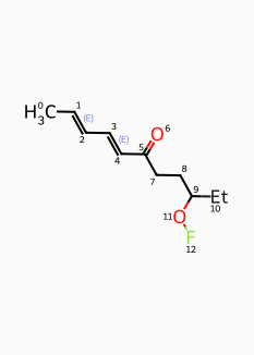 C/C=C/C=C/C(=O)CCC(CC)OF